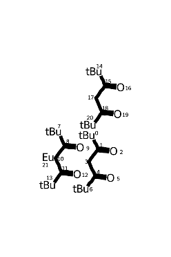 CC(C)(C)C(=O)CC(=O)C(C)(C)C.CC(C)(C)C(=O)CC(=O)C(C)(C)C.CC(C)(C)C(=O)CC(=O)C(C)(C)C.[Eu]